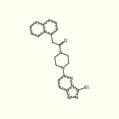 CCc1nnc2ccc(N3CCN(C(=O)Cc4cccc5ccccc45)CC3)nn12